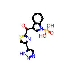 O=C(c1nc(-c2cnn[nH]2)cs1)c1cn(P(=O)(O)O)c2ccccc12